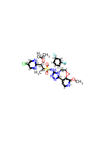 COc1nccc2c1OC[C@@H](c1ccc(F)cc1F)n1c(NS(=O)(=O)[C@@H](C)[C@@H](OC(C)C)c3ncc(Cl)cn3)nnc1-2